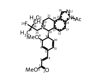 COC(=O)/C=C/C1=CC(OC)C([C@@H]2c3ccc4c(cnn4C(C)=O)c3C[C@@H](C)N2CC(C)(C)F)C=C1